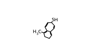 CC1=C2C=CC(S)C=CC2=CCC1